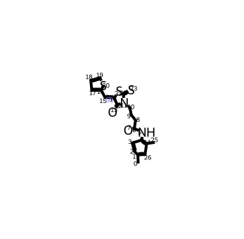 Cc1ccc(NC(=O)CCCN2C(=O)/C(=C/c3cccs3)SC2=S)c(C)c1